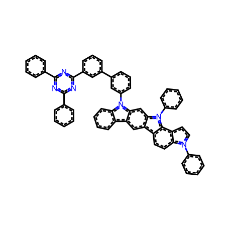 c1ccc(-c2nc(-c3ccccc3)nc(-c3cccc(-c4cccc(-n5c6ccccc6c6cc7c8ccc9c(ccn9-c9ccccc9)c8n(-c8ccccc8)c7cc65)c4)c3)n2)cc1